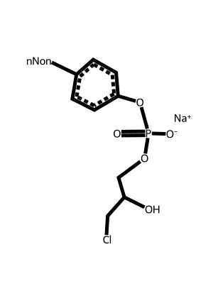 CCCCCCCCCc1ccc(OP(=O)([O-])OCC(O)CCl)cc1.[Na+]